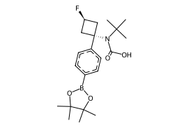 CC(C)(C)N(C(=O)O)[C@]1(c2ccc(B3OC(C)(C)C(C)(C)O3)cc2)C[C@@H](F)C1